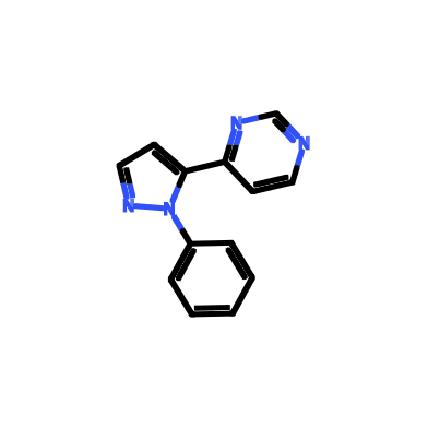 c1ccc(-n2nccc2-c2ccncn2)cc1